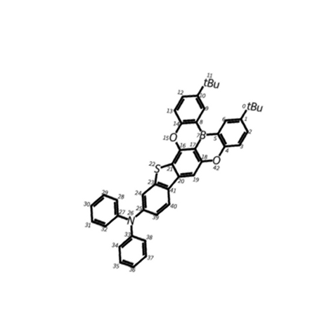 CC(C)(C)c1ccc2c(c1)B1c3cc(C(C)(C)C)ccc3Oc3c1c(cc1c3sc3cc(N(c4ccccc4)c4ccccc4)ccc31)O2